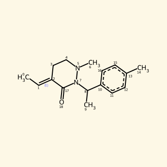 C/C=C1\CCN(C)N(C(C)c2ccc(C)cc2)C1=O